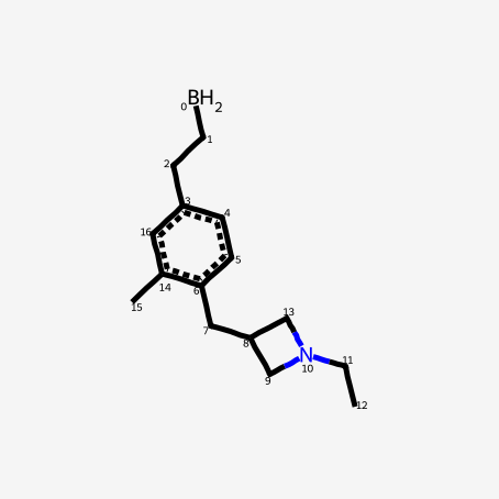 BCCc1ccc(CC2CN(CC)C2)c(C)c1